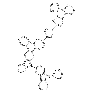 Cc1cc(-c2ccc3c4ccccc4c4cccnc4c3n2)ccc1-c1ccc2c(c1)c1ccccc1c1cc3c4ccccc4n(-c4ccc5c(c4)c4ccccc4n5-c4ccccc4)c3cc21